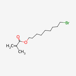 C=C(C)C(=O)OCCCCCCCCCBr